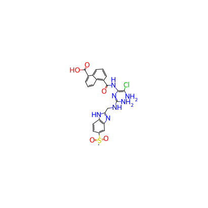 CS(=O)(=O)c1ccc2[nH]c(CN/C(N)=N/C(NC(=O)c3cccc4c(C(=O)O)cccc34)=C(\N)Cl)nc2c1